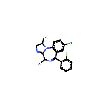 CC1N=C(c2ccccc2F)c2cc(Cl)ccc2N2C1=NCC2C